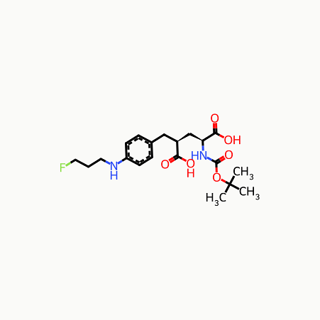 CC(C)(C)OC(=O)N[C@@H](C[C@H](Cc1ccc(NCCCF)cc1)C(=O)O)C(=O)O